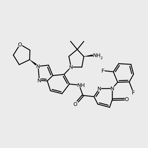 CC1(C)CN(c2c(NC(=O)c3ccc(=O)n(-c4c(F)cccc4F)n3)ccc3nn([C@H]4CCOC4)cc23)C[C@@H]1N